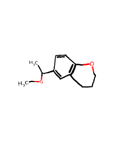 COC(C)c1ccc2c(c1)CCCO2